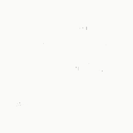 CCOC(=O)c1c(O)c2cnccc2n(Cc2ccc(OC)cc2)c1=O